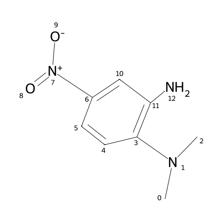 CN(C)c1ccc([N+](=O)[O-])cc1N